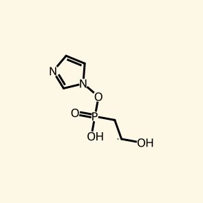 O=P(O)(C[CH]O)On1ccnc1